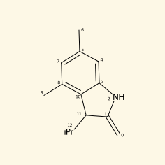 C=C1Nc2cc(C)cc(C)c2C1C(C)C